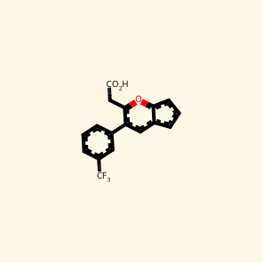 O=C(O)Cc1oc2cccc-2cc1-c1cccc(C(F)(F)F)c1